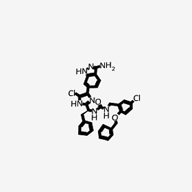 Nc1n[nH]c2cc(-c3nc([C@H](Cc4ccccc4)NC(=O)NCc4cc(Cl)ccc4OCc4ccccc4)[nH]c3Cl)ccc12